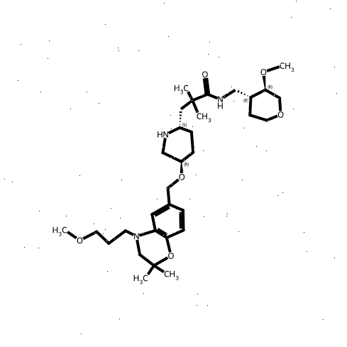 COCCCN1CC(C)(C)Oc2ccc(CO[C@@H]3CC[C@@H](CC(C)(C)C(=O)NC[C@H]4CCOC[C@@H]4OC)NC3)cc21